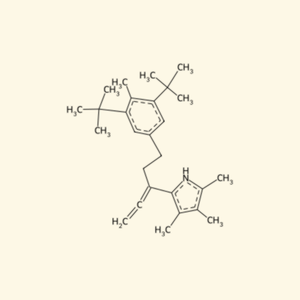 C=C=C(CCc1cc(C(C)(C)C)c(C)c(C(C)(C)C)c1)c1[nH]c(C)c(C)c1C